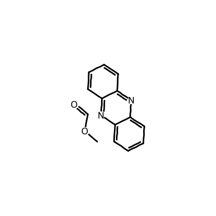 COC=O.c1ccc2nc3ccccc3nc2c1